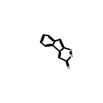 O=C1C=C2C(=Cc3ccccc32)N=N1